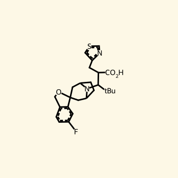 CC(C)(C)C(C(Cc1cscn1)C(=O)O)N1C2CCC1CC1(C2)OCc2ccc(F)cc21